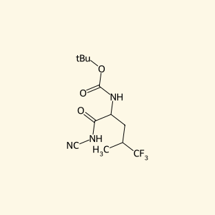 CC(CC(NC(=O)OC(C)(C)C)C(=O)NC#N)C(F)(F)F